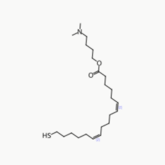 CN(C)CCCCOC(=O)CCCC/C=C\CCC/C=C\CCCCCS